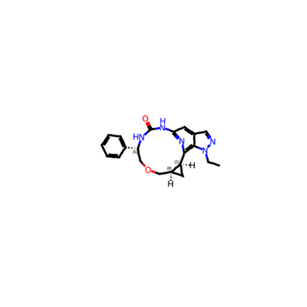 CCn1ncc2cc3nc(c21)[C@H]1C[C@H]1COC[C@H](c1ccccc1)NC(=O)N3